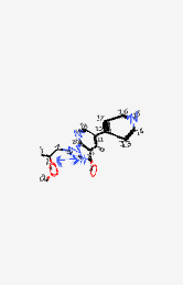 COC(C)Cn1[nH]c(=O)c2cc(-c3ccncc3)cnc21